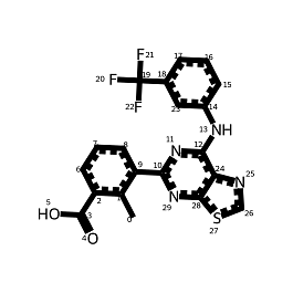 Cc1c(C(=O)O)cccc1-c1nc(Nc2cccc(C(F)(F)F)c2)c2ncsc2n1